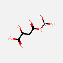 O=C(CC(O)C(=O)O)OB(O)O